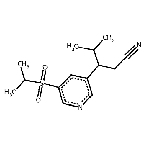 CC(C)C(CC#N)c1cncc(S(=O)(=O)C(C)C)c1